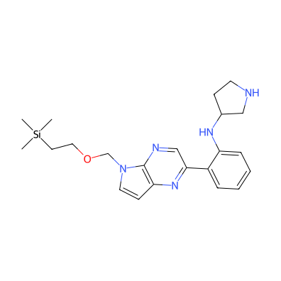 C[Si](C)(C)CCOCn1ccc2nc(-c3ccccc3NC3CCNC3)cnc21